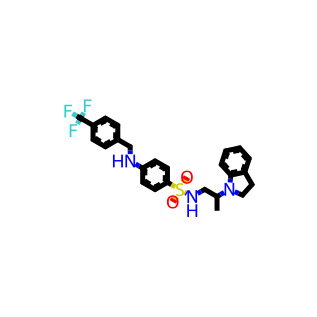 CC(CNS(=O)(=O)c1ccc(NCc2ccc(C(F)(F)F)cc2)cc1)N1CCc2ccccc21